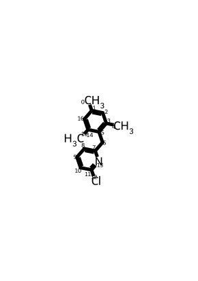 Cc1cc(C)c([CH]c2cccc(Cl)n2)c(C)c1